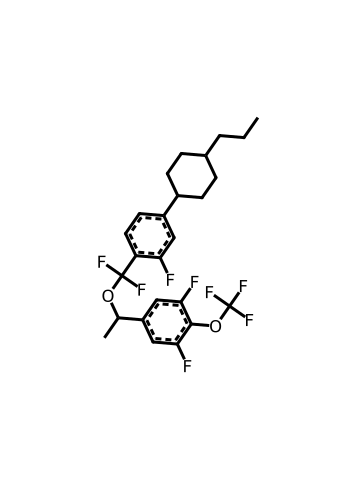 CCCC1CCC(c2ccc(C(F)(F)OC(C)c3cc(F)c(OC(F)(F)F)c(F)c3)c(F)c2)CC1